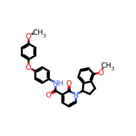 COc1ccc(Oc2ccc(NC(=O)c3cccn(C4CCc5c(OC)cccc54)c3=O)cc2)cc1